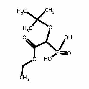 CCOC(=O)C(OC(C)(C)C)P(=O)(O)O